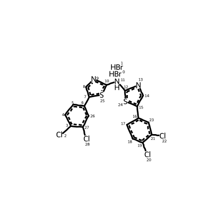 Br.Br.Clc1ccc(-c2cnc(Nc3ncc(-c4ccc(Cl)c(Cl)c4)s3)s2)cc1Cl